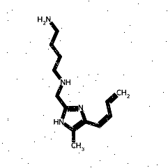 C=C/C=C\c1nc(CNCCCCN)[nH]c1C